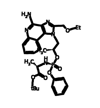 CCOCc1nc2c(N)nc3ccccc3c2n1C[C@@H](C)O[P@@](=O)(N[C@@H](C)C(=O)OC(C)(C)C)Oc1ccccc1